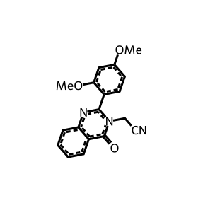 COc1ccc(-c2nc3ccccc3c(=O)n2CC#N)c(OC)c1